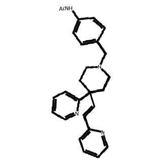 CC(=O)Nc1ccc(CN2CCC(/C=C/c3ccccn3)(c3ccccn3)CC2)cc1